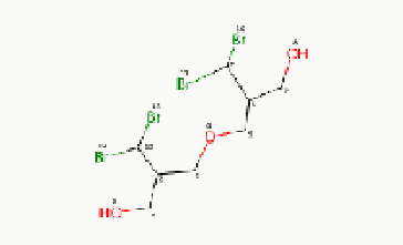 OCC(COCC(CO)C(Br)Br)C(Br)Br